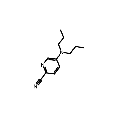 CCCN(CCC)c1ccc(C#N)nc1